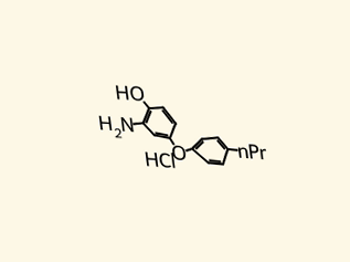 CCCc1ccc(Oc2ccc(O)c(N)c2)cc1.Cl